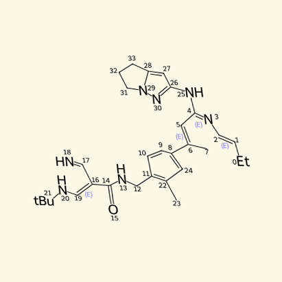 CC/C=C/N=C(\C=C(/C)c1ccc(CNC(=O)/C(C=N)=C/NC(C)(C)C)c(C)c1)Nc1cc2n(n1)CCC2